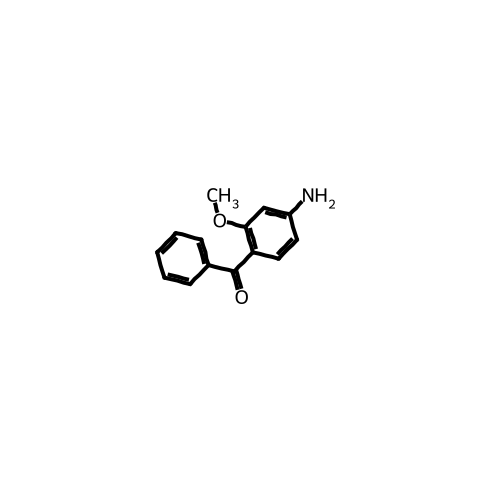 COc1cc(N)ccc1C(=O)c1ccccc1